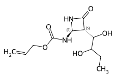 C=CCOC(=O)N[C@H]1NC(=O)[C@@H]1C(O)C(O)CC